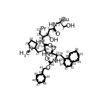 CC[C@H](C)[C@@H](CO)NC(=O)C[C@H](O)[C@H](CC(C)C)NC(=O)[C@H](CC1CCCN1C)NC(=O)[C@H](Cc1cccc2ccccc12)NC(=O)OCc1ccccc1